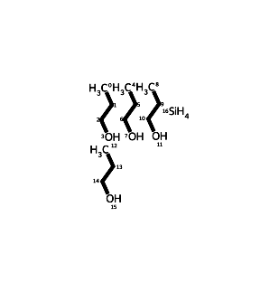 CCCO.CCCO.CCCO.CCCO.[SiH4]